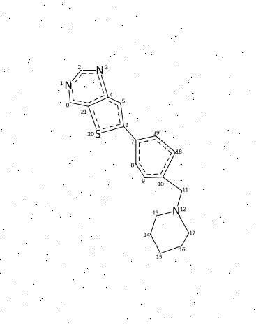 [c]1ncnc2cc(-c3ccc(CN4CCCCC4)cc3)sc12